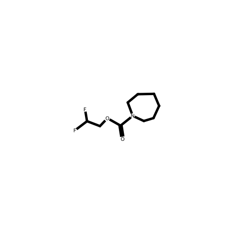 O=C(OCC(F)F)N1CC[CH]CCC1